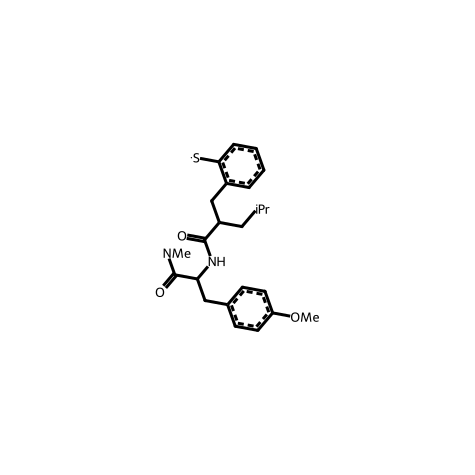 CNC(=O)C(Cc1ccc(OC)cc1)NC(=O)C(Cc1ccccc1[S])CC(C)C